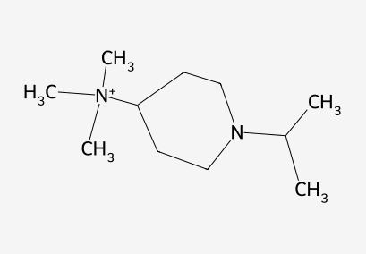 CC(C)N1CCC([N+](C)(C)C)CC1